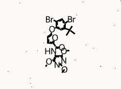 COc1nc(OC)c(NC(=O)c2ccc(Oc3cc(C(C)(C)C)c(Br)cc3Br)o2)c(OC)n1